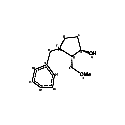 COC[C@H]1[C@H](O)CCN1Cc1ccccc1